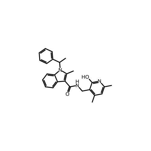 Cc1cc(C)c(CNC(=O)c2c(C)n(C(C)c3ccccc3)c3ccccc23)c(O)n1